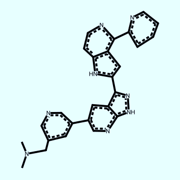 CN(C)Cc1cncc(-c2cnc3[nH]nc(-c4cc5c(-c6ccccn6)nccc5[nH]4)c3c2)c1